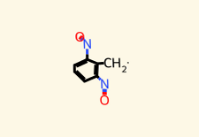 [CH2]c1c(N=O)cccc1N=O